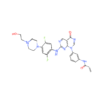 C=CC(=O)Nc1cccc(-n2cnc(=O)c3cnc(Nc4cc(F)c(N5CCN(CCO)CC5)cc4F)nc32)c1